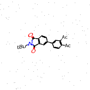 CC(=O)c1ccc(-c2ccc3c(c2)C(=O)N(C(C)(C)C)C3=O)cc1C(C)=O